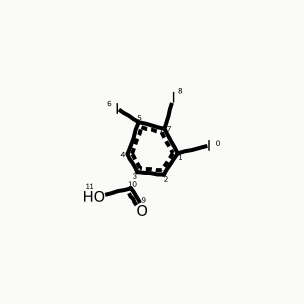 Ic1cccc(I)c1I.O=CO